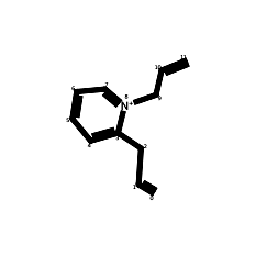 C=CCc1cccc[n+]1CC=C